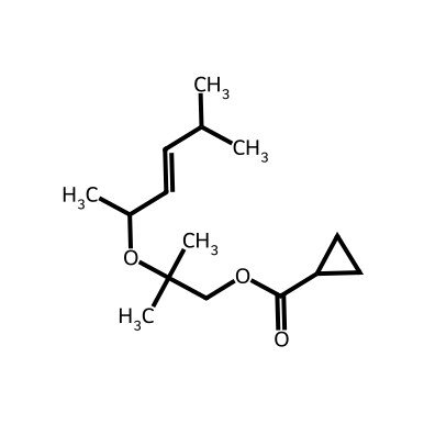 CC(C)/C=C/C(C)OC(C)(C)COC(=O)C1CC1